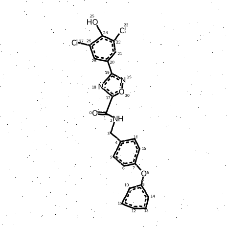 O=C(NCc1ccc(Oc2ccccc2)cc1)c1nc(-c2cc(Cl)c(O)c(Cl)c2)no1